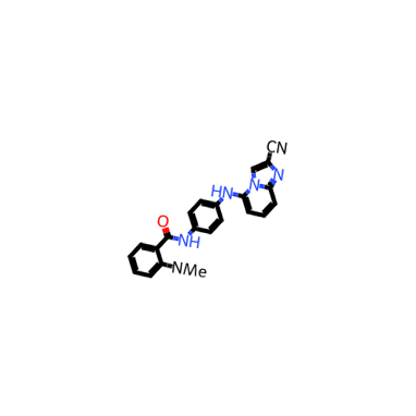 CNc1ccccc1C(=O)Nc1ccc(Nc2cccc3nc(C#N)cn23)cc1